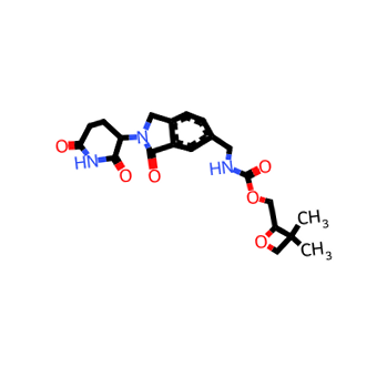 CC1(C)COC1COC(=O)NCc1ccc2c(c1)C(=O)N(C1CCC(=O)NC1=O)C2